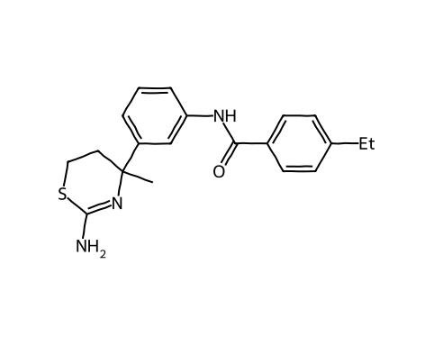 CCc1ccc(C(=O)Nc2cccc(C3(C)CCSC(N)=N3)c2)cc1